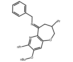 CCCCOc1cc2c(nc1CCC)C(=NCc1ccccc1)CC(C(C)C)CO2